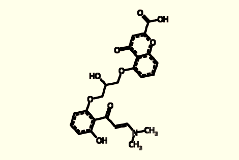 CN(C)C=CC(=O)c1c(O)cccc1OCC(O)COc1cccc2oc(C(=O)O)cc(=O)c12